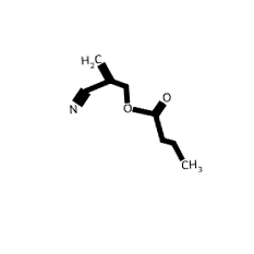 C=C(C#N)COC(=O)CCC